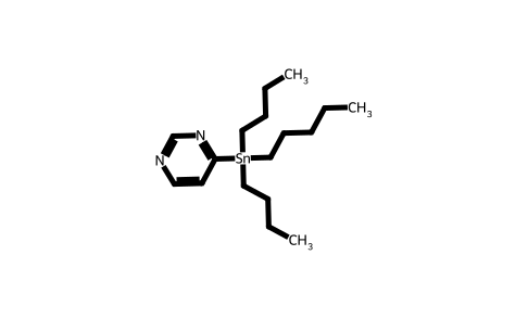 CCCC[CH2][Sn]([CH2]CCC)([CH2]CCC)[c]1ccncn1